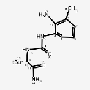 Cc1cccc(NC(=O)N[C@H](C(N)=O)C(C)(C)C)c1N